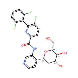 O=C(Nc1cnccc1[C@H]1C[C@@H](O)[C@H](O)[C@@H](CO)O1)c1ccc(F)c(-c2c(F)cccc2F)n1